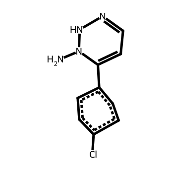 NN1NN=CC=C1c1ccc(Cl)cc1